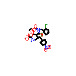 CCOC(=O)N(Cc1c(F)cccc1F)c1sc(-c2ccc([N+](=O)[O-])cc2)c(CN(C)CCOC)c1C(=O)O